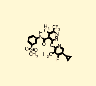 Cc1c(Oc2nnc(C(F)(F)F)c(C)c2C(=O)Nc2cccc(S(C)(=O)=O)c2)ncc(C2CC2)c1F